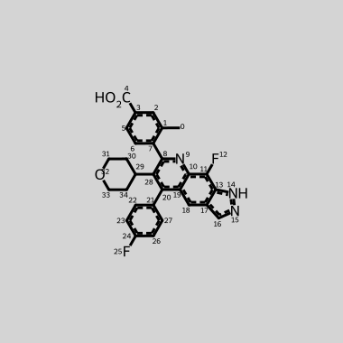 Cc1cc(C(=O)O)ccc1-c1nc2c(F)c3[nH]ncc3cc2c(-c2ccc(F)cc2)c1C1CCOCC1